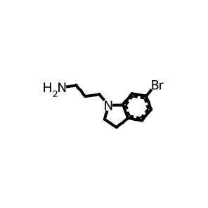 NCCCN1CCc2ccc(Br)cc21